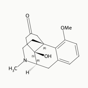 COc1cccc2c1[C@]13CCN(C)[C@H](C2)[C@]1(O)CCC(=O)C3